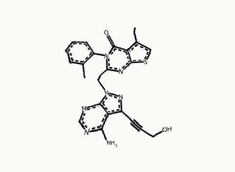 Cc1ccccc1-n1c(Cn2nc(C#CCO)c3c(N)ncnc32)nc2scc(C)c2c1=O